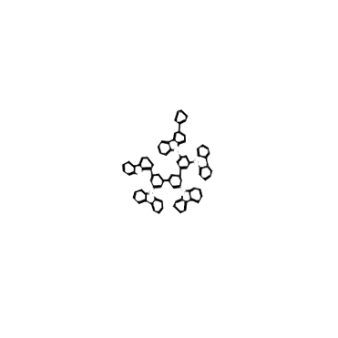 c1ccc(-c2ccc3c(c2)c2ccccc2n3-c2cc(-c3cc(-c4cc(-c5cccc6c5oc5ccccc56)cc(-n5c6ccccc6c6ccccc65)c4)cc(-n4c5ccccc5c5ccccc54)c3)cc(-n3c4ccccc4c4ccccc43)c2)cc1